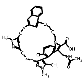 CC(=O)NCc1c(C(=O)O)n2c3ccc(Cl)c(c13)-c1c(nn(C)c1C)CSCc1cc(n(C)n1)CSc1cc(c3ccccc3c1)OCCC2